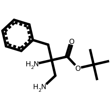 CC(C)(C)OC(=O)C(N)(CN)Cc1ccccc1